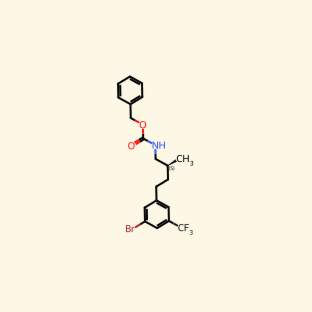 C[C@@H](CCc1cc(Br)cc(C(F)(F)F)c1)CNC(=O)OCc1ccccc1